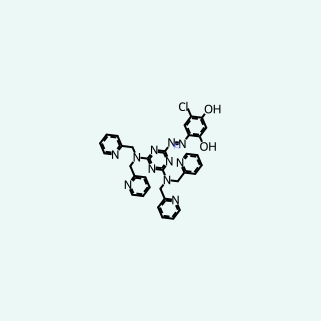 Oc1cc(O)c(/N=N/c2nc(N(Cc3ccccn3)Cc3ccccn3)nc(N(Cc3ccccn3)Cc3ccccn3)n2)cc1Cl